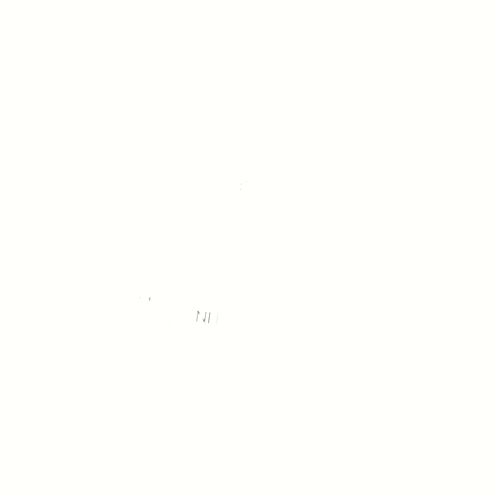 CC[S+]([O-])Nc1ccc(Cl)c(C)c1